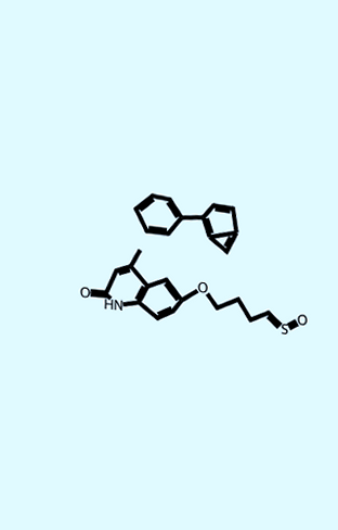 Cc1cc(=O)[nH]c2ccc(OCCCC=S=O)cc12.c1ccc(-c2ccc3cc2-3)cc1